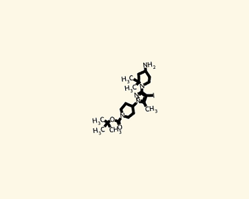 Cc1c(I)c(N2CCC(N)CC2(C)C)nn1C1CCN(C(=O)OC(C)(C)C)CC1